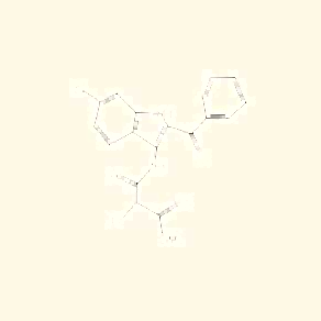 CCC(C(=O)Nc1c(C(=O)c2ccccc2)[nH]c2cc(Cl)ccc12)C(=O)OC